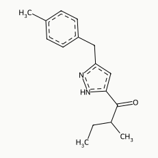 CCC(C)C(=O)c1cc(Cc2ccc(C)cc2)n[nH]1